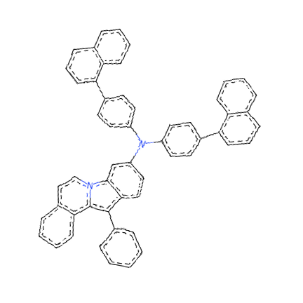 c1ccc(-c2c3ccc(N(c4ccc(-c5cccc6ccccc56)cc4)c4ccc(-c5cccc6ccccc56)cc4)cc3n3ccc4ccccc4c23)cc1